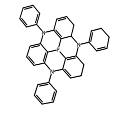 C1=CC(N2C3=C4C(=CCC3)N(c3ccccc3)c3cccc5c3P4C3=C(C=CCC32)N5c2ccccc2)=CCC1